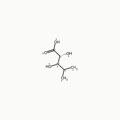 CC(C)N(O)[C@@H](O)C(=O)O